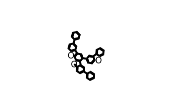 c1ccc(-c2ccc3oc4c(cc(-c5ccc6oc7ccccc7c6c5)c5c6cc(-c7ccccc7)ccc6oc45)c3c2)cc1